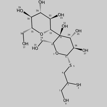 OCC(S)CS[C@@H]1O[C@H](CO)[C@](O)([C@@H]2O[C@H](CO)[C@@H](O)[C@H](O)[C@H]2O)[C@H](O)[C@H]1O